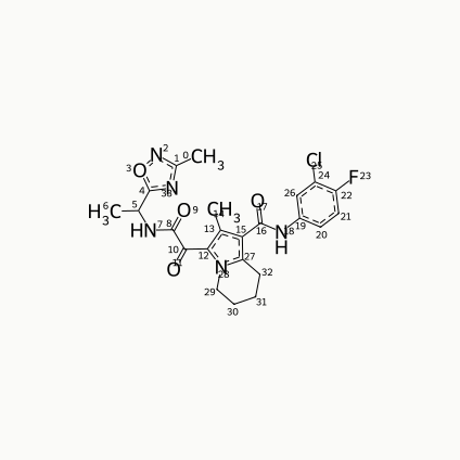 Cc1noc(C(C)NC(=O)C(=O)c2c(C)c(C(=O)Nc3ccc(F)c(Cl)c3)c3n2CCCC3)n1